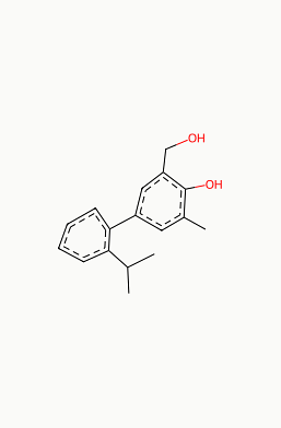 Cc1cc(-c2ccccc2C(C)C)cc(CO)c1O